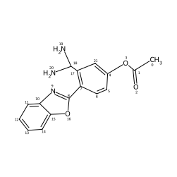 CC(=O)Oc1ccc(-c2nc3ccccc3o2)c(C(N)N)c1